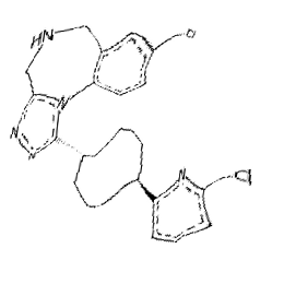 Clc1ccc2c(c1)CNCc1nnc([C@H]3CC[C@H](c4cccc(Cl)n4)CC3)n1-2